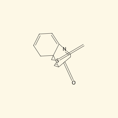 C=S1C=C2C(=O)CC=NC3=CC=CCC32C1